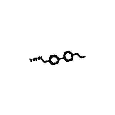 CCCc1ccc(-c2ccc(CN=[N+]=[N-])cc2)cc1